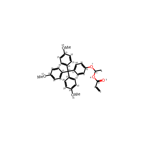 C=CC(=O)OC(C)Oc1ccc(C(c2ccc(OC)cc2)(c2ccc(OC)cc2)c2ccc(OC)cc2)cc1